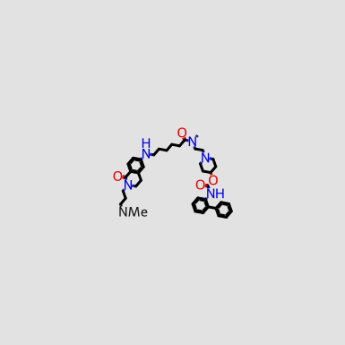 CNCCCN1CCc2cc(NCCCCCC(=O)N(C)CCN3CCC(OC(=O)Nc4ccccc4-c4ccccc4)CC3)ccc2C1=O